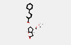 CC(O[Si](C)(C)C(C)(C)C)[C@@H]1[C@@H]2CC(=O)O[C@@H]2C[C@@H]1OC(=O)c1ccc(-c2ccccc2)cc1